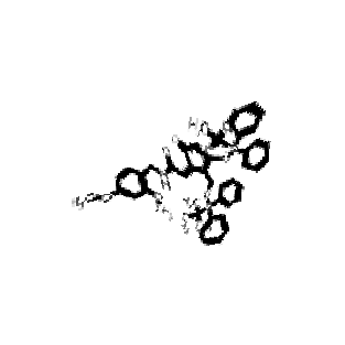 COc1ccc(CNC(=O)CC2C(=O)CC(O[Si](c3ccccc3)(c3ccccc3)C(C)(C)C)C2CO[Si](c2ccccc2)(c2ccccc2)C(C)(C)C)c(OC)c1